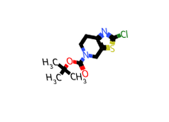 CC(C)(C)OC(=O)N1CCc2nc(Cl)sc2C1